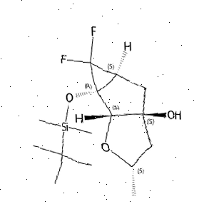 C[C@H]1C[C@@]2(O)C[C@@H]3C(F)(F)[C@]3(O[Si](C)(C)C(C)(C)C)[C@H]2O1